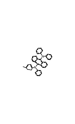 CC1=CC=C(N(c2ccccc2)c2c3ccccc3c(N(c3ccccc3)c3ccccc3)c3ccccc23)CC1